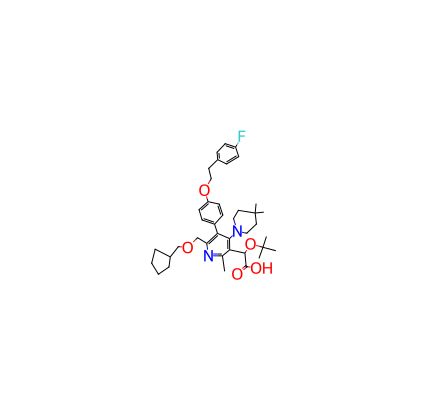 Cc1nc(COCC2CCCC2)c(-c2ccc(OCCc3ccc(F)cc3)cc2)c(N2CCC(C)(C)CC2)c1C(OC(C)(C)C)C(=O)O